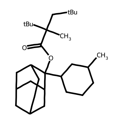 CC1CCCC(C2(OC(=O)C(C)(CC(C)(C)C)C(C)(C)C)C3CC4CC(C3)CC2C4)C1